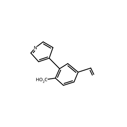 C=Cc1ccc(C(=O)O)c(-c2ccncc2)c1